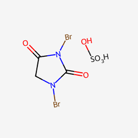 O=C1CN(Br)C(=O)N1Br.O=S(=O)(O)O